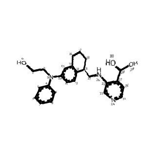 OCCN(c1ccccc1)c1ccc2c(c1)CCC[C@H]2CNc1cnccc1C(O)O